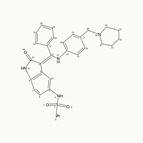 CC(C)S(=O)(=O)Nc1ccc2c(c1)C(=C(Nc1ccc(CN3CCCCC3)cc1)c1ccccc1)C(=O)N2